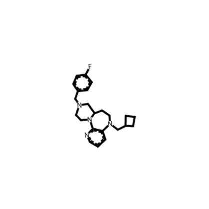 Fc1ccc(CN2CCN3c4ncccc4N(CC4CCC4)CCC3C2)cc1